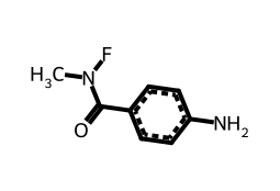 CN(F)C(=O)c1ccc(N)cc1